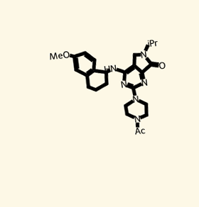 COc1ccc2c(c1)CCCC2Nc1nc(N2CCN(C(C)=O)CC2)nc2c1CN(C(C)C)C2=O